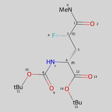 CNC(=O)[C@@H](F)C[C@@H](NC(=O)OC(C)(C)C)C(=O)OC(C)(C)C